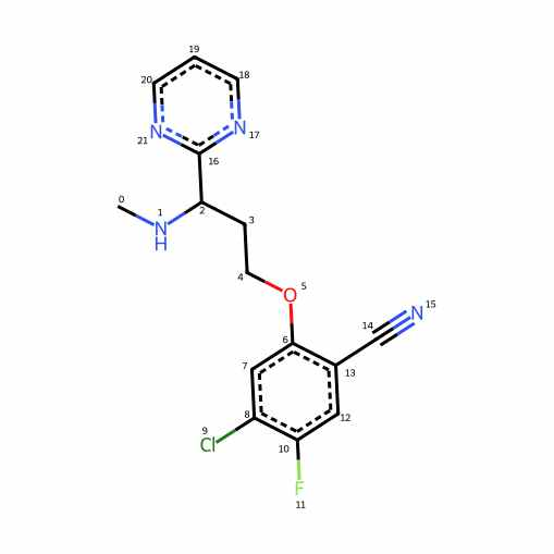 CNC(CCOc1cc(Cl)c(F)cc1C#N)c1ncccn1